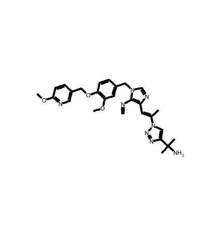 C=Nc1c(/C=C(\C)n2cc(C(C)(C)N)nn2)ncn1Cc1ccc(OCc2ccc(OC)nc2)c(OC)c1